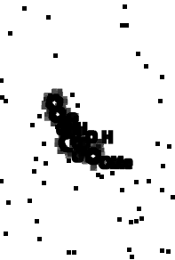 COc1ccc(S(=O)(=O)N2CC=CCC(NS(=O)(=O)c3ccc4ccccc4c3)C2C(=O)O)cc1